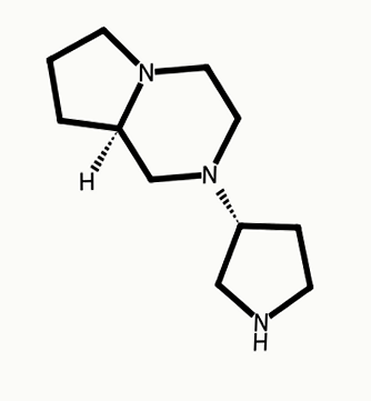 C1C[C@@H]2CN([C@@H]3CCNC3)CCN2C1